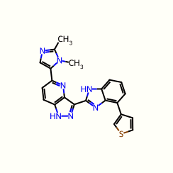 Cc1ncc(-c2ccc3[nH]nc(-c4nc5c(-c6ccsc6)cccc5[nH]4)c3n2)n1C